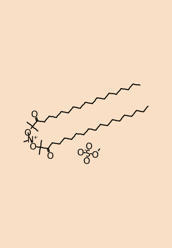 CCCCCCCCCCCCCCCCCC(=O)C(C)(C)O[N+](C)(C)OC(C)(C)C(=O)CCCCCCCCCCCCCCCCC.COS(=O)(=O)[O-]